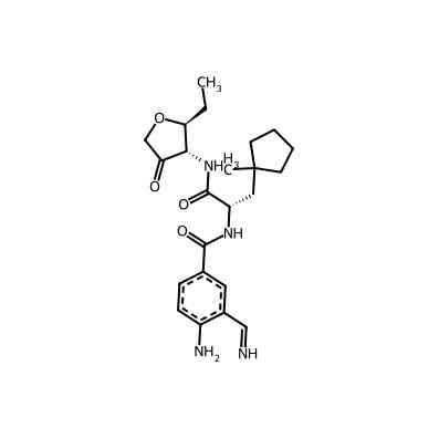 CC[C@@H]1OCC(=O)[C@H]1NC(=O)[C@H](CC1(C)CCCC1)NC(=O)c1ccc(N)c(C=N)c1